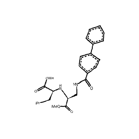 COC(=O)[C@H](CNC(=O)c1ccc(-c2ccccc2)cc1)N[C@@H](CC(C)C)C(=O)OC